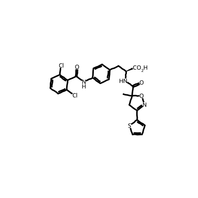 CC1(C(=O)N[C@@H](Cc2ccc(NC(=O)c3c(Cl)cccc3Cl)cc2)C(=O)O)CC(c2cccs2)=NO1